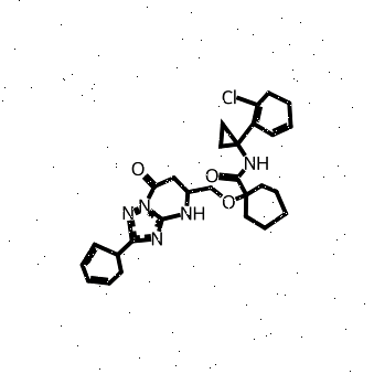 O=C1CC(COC2(C(=O)NC3(C4=C(Cl)CCC=C4)CC3)CCCCC2)Nc2nc(C3C=CC=CC3)nn21